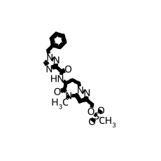 CN1C(=O)C(NC(=O)c2ncn(Cc3ccccc3)n2)CCn2nc(COS(C)(=O)=O)cc21